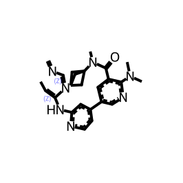 C=N/C=N\C(=C/C)Nc1cc(-c2cnc(N(C)C)c(C(=O)N(C)C34CC(C3)C4)c2)ccn1